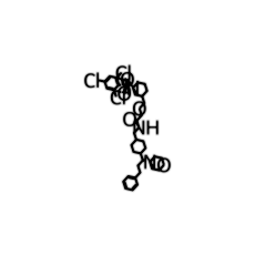 O=C(COCC1CCCN(S(=O)(=O)c2c(Cl)cc(Cl)cc2Cl)C1)NCC1CCC(C(CCc2ccccc2)N2CCOCC2)CC1